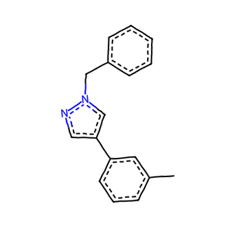 Cc1cccc(-c2cnn(Cc3ccccc3)c2)c1